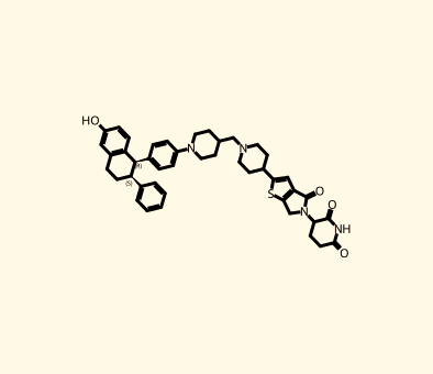 O=C1CCC(N2Cc3sc(C4CCN(CC5CCN(c6ccc([C@@H]7c8ccc(O)cc8CC[C@@H]7c7ccccc7)cc6)CC5)CC4)cc3C2=O)C(=O)N1